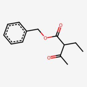 CCC(C(C)=O)C(=O)OCc1ccccc1